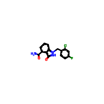 NC(=O)c1[c]ccc2c1c(=O)[nH]n2Cc1ccc(F)cc1Cl